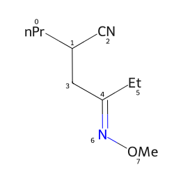 CCCC(C#N)C/C(CC)=N/OC